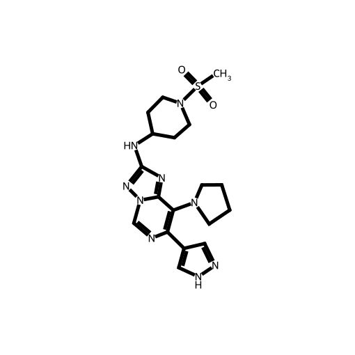 CS(=O)(=O)N1CCC(Nc2nc3c(N4CCCC4)c(-c4cn[nH]c4)ncn3n2)CC1